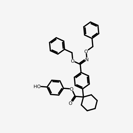 O=C(Oc1ccc(O)cc1)C1(c2ccc(C(=NOCc3ccccc3)OCc3ccccc3)cc2)CCCCC1